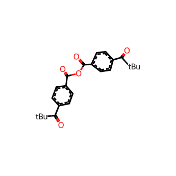 CC(C)(C)C(=O)c1ccc(C(=O)OC(=O)c2ccc(C(=O)C(C)(C)C)cc2)cc1